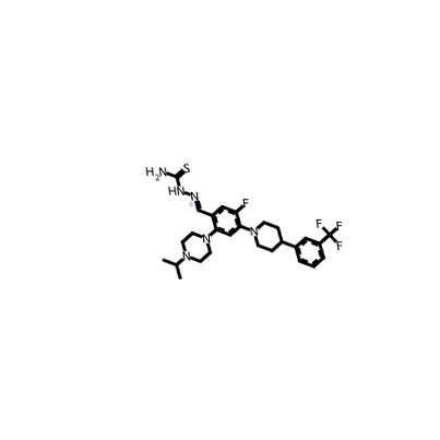 CC(C)N1CCN(c2cc(N3CCC(c4cccc(C(F)(F)F)c4)CC3)c(F)cc2/C=N/NC(N)=S)CC1